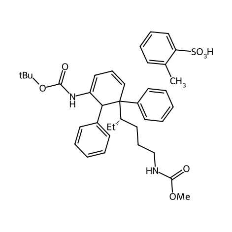 CC[C@@H](CCCNC(=O)OC)C1(c2ccccc2)C=CC=C(NC(=O)OC(C)(C)C)C1c1ccccc1.Cc1ccccc1S(=O)(=O)O